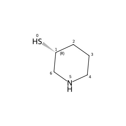 S[C@@H]1CCCNC1